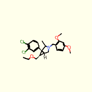 CCOC[C@@H]1[C@H]2CN(Cc3ccc(OC)cc3OC)C(C)[C@@]12c1ccc(Cl)c(Cl)c1